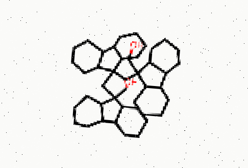 OCC1(CC2(CC3(CO)C4CCCCC4C4CCCCC43)C3CCCCC3C3CCCCC32)C2CCCCC2C2CCCCC21